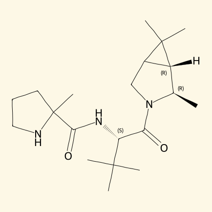 C[C@@H]1[C@@H]2C(CN1C(=O)[C@@H](NC(=O)C1(C)CCCN1)C(C)(C)C)C2(C)C